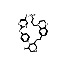 CCc1cnc(Oc2ccc([C@H]3C(I)CNCC3OCc3ccc4c(c3)N(CCCOC)CCO4)cc2)nc1